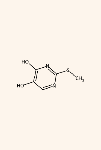 CSc1ncc(O)c(O)n1